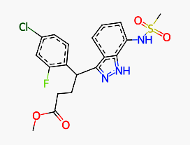 COC(=O)CCC(c1ccc(Cl)cc1F)c1n[nH]c2c(NS(C)(=O)=O)cccc12